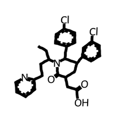 CCC(CCc1ccccn1)N1C(=O)C(CC(=O)O)CC(c2cccc(Cl)c2)C1c1ccc(Cl)cc1